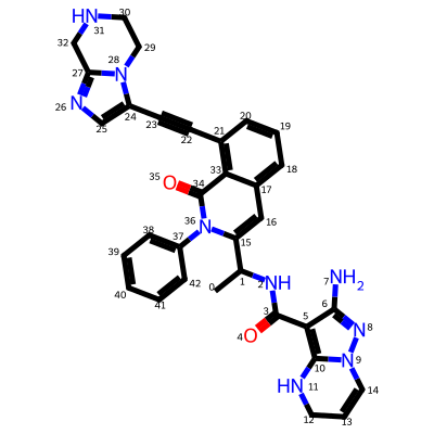 CC(NC(=O)c1c(N)nn2c1NCC=C2)c1cc2cccc(C#Cc3cnc4n3CCNC4)c2c(=O)n1-c1ccccc1